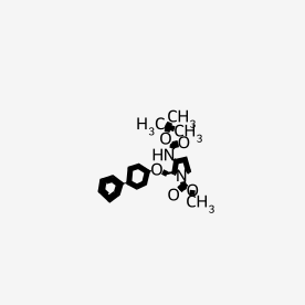 COC(=O)N1CC[C@H](NC(=O)OC(C)(C)C)[C@@H]1CO[C@H]1CC[C@@H](c2ccccc2)CC1